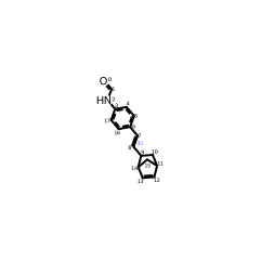 O=CNc1ccc(/C=C/C2CC3C=CC2C3)cc1